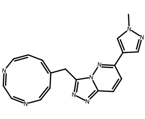 Cn1cc(-c2ccc3nnc(Cc4cccnccncc4)n3n2)cn1